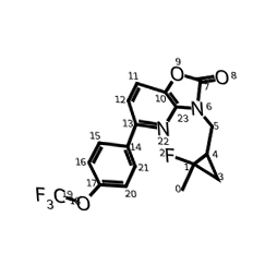 CC1(F)CC1Cn1c(=O)oc2ccc(-c3ccc(OC(F)(F)F)cc3)nc21